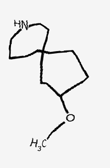 COC1CCC2(CCNC2)C1